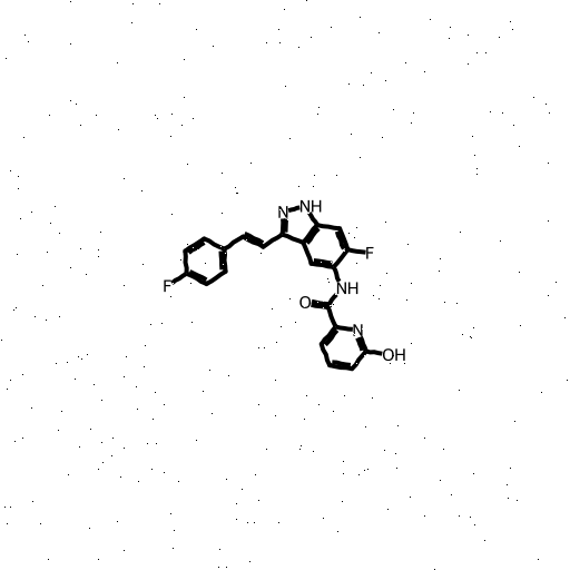 O=C(Nc1cc2c(/C=C/c3ccc(F)cc3)n[nH]c2cc1F)c1cccc(O)n1